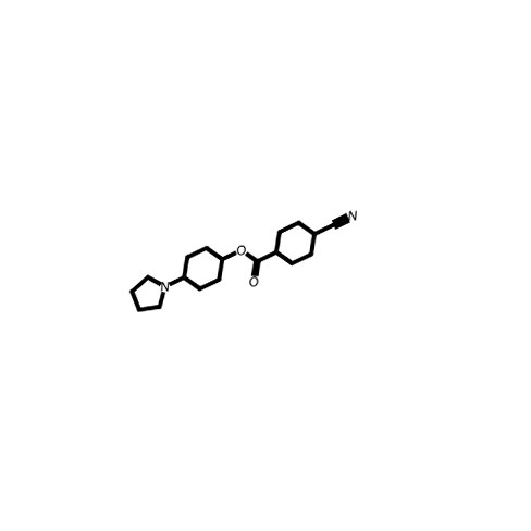 N#CC1CCC(C(=O)OC2CCC(N3CCCC3)CC2)CC1